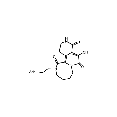 CC(=O)NCCN1CCCCn2c(c3c(c(O)c2=O)C(=O)NCC3)C1=O